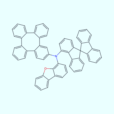 c1ccc2c(c1)-c1ccccc1-c1ccc(N(c3cccc4c3-c3ccccc3C43c4ccccc4-c4ccccc43)c3cccc4c3oc3ccccc34)cc1-c1ccccc1-2